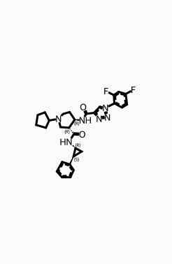 O=C(N[C@@H]1CCN(C2CCCC2)C[C@H]1C(=O)N[C@@H]1C[C@H]1c1ccccc1)c1cn(-c2ccc(F)cc2F)nn1